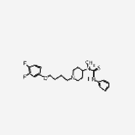 CN(C(=S)Nc1ccccc1)C1CCN(CCCCOc2ccc(F)c(F)c2)CC1